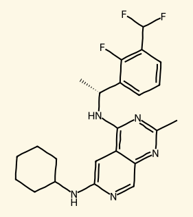 Cc1nc(N[C@H](C)c2cccc(C(F)F)c2F)c2cc(NC3CCCCC3)ncc2n1